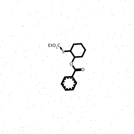 CCOC(=O)SC1CCCCC1OC(=O)c1ccccc1